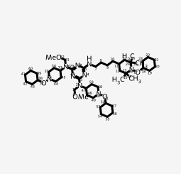 COCN(c1nc(NCCCCC2CC(C)(C)N(OC3CCCCC3)C(C)(C)C2)nc(N(COC)C2CCN(OC3CCCCC3)CC2)n1)C1CCN(OC2CCCCC2)CC1